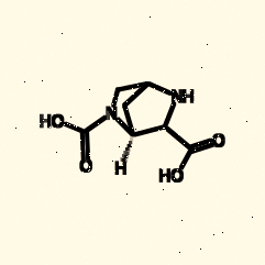 O=C(O)C1NC2C[C@@H]1N(C(=O)O)C2